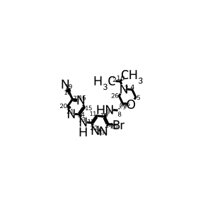 CC(C)N1CCO[C@H](CNc2cc(Nc3cnc(C#N)cn3)nnc2Br)C1